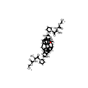 CC(C)[C@H](NC(=O)OCC(F)(F)F)C(=O)N1CCC[C@H]1c1nc2cc(-c3cc4ccc3CCc3ccc(c(-c5ccc6[nH]c([C@@H]7CCCN7C(=O)[C@@H](NC(=O)OCC(F)(F)F)C(C)C)nc6c5)c3)C[C@H]4C)ccc2[nH]1